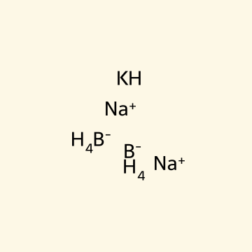 [BH4-].[BH4-].[KH].[Na+].[Na+]